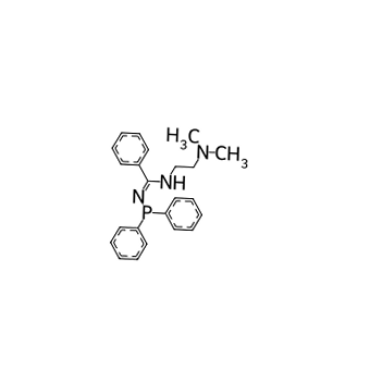 CN(C)CCNC(=NP(c1ccccc1)c1ccccc1)c1ccccc1